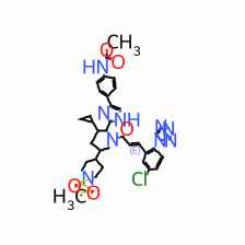 COC(=O)Nc1ccc(-c2c[nH]c(C3C(C4CC4)CC(C4CCN(S(C)(=O)=O)CC4)CN3C(=O)/C=C/c3cc(Cl)ccc3-n3cnnn3)n2)cc1